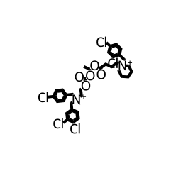 CC(OC(=O)CCC[N+]1(Cc2ccc(Cl)cc2Cl)CCCCC1)OC(=O)OCC[N+](C)(Cc1ccc(Cl)cc1)Cc1ccc(Cl)c(Cl)c1